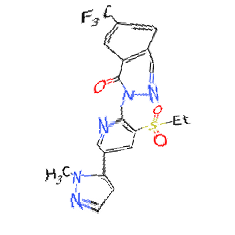 CCS(=O)(=O)c1cc(-c2ccnn2C)cnc1-n1ncc2ccc(C(F)(F)F)cc2c1=O